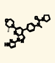 C[C@@H]1COCCN1c1cc(-c2ccc(N(C)C(=O)N3CCCC3)cc2)c2cnn(-c3cc[nH]n3)c2n1